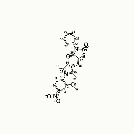 COc1cc([N+](=O)[O-])ccc1-n1c(C)cc(/C=C2/SC(=O)N(c3ccccc3)C2=O)c1C